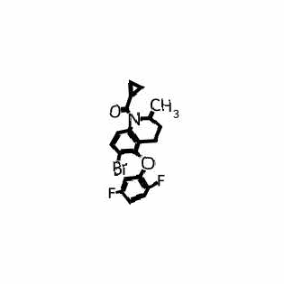 CC1CCc2c(ccc(Br)c2Oc2cc(F)ccc2F)N1C(=O)C1CC1